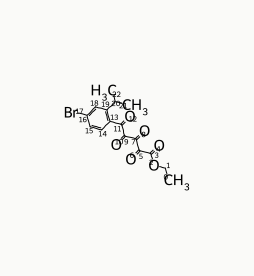 CCOC(=O)C(=O)C(=O)C(=O)C(=O)c1ccc(Br)cc1C(C)C